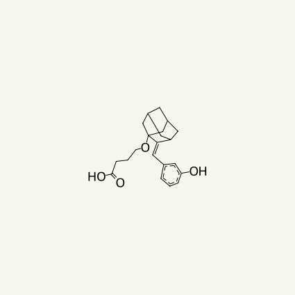 O=C(O)CCCOC12CC3CC(CC(C3)C1=Cc1cccc(O)c1)C2